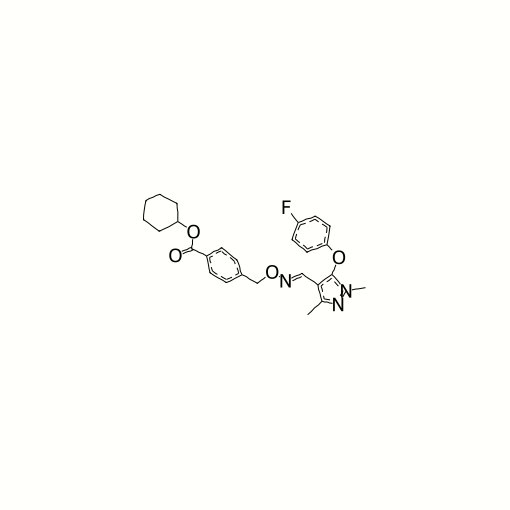 Cc1nn(C)c(Oc2ccc(F)cc2)c1/C=N/OCc1ccc(C(=O)OC2CCCCC2)cc1